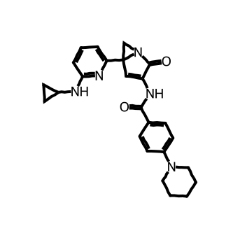 O=C(NC1=CC2(c3cccc(NC4CC4)n3)CN2C1=O)c1ccc(N2CCCCC2)cc1